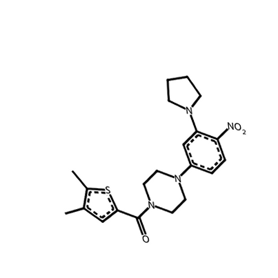 Cc1cc(C(=O)N2CCN(c3ccc([N+](=O)[O-])c(N4CCCC4)c3)CC2)sc1C